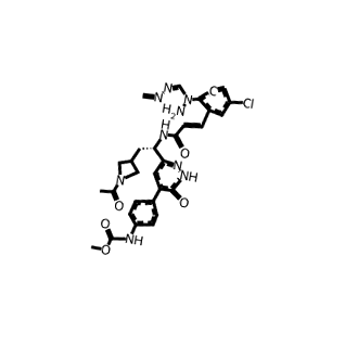 C=N/N=C\N(N)c1ccc(Cl)cc1/C=C/C(=O)N[C@@H](CC1CN(C(C)=O)C1)c1cc(-c2ccc(NC(=O)OC)cc2)c(=O)[nH]n1